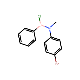 CN(B(Cl)c1ccccc1)c1ccc(Br)cc1